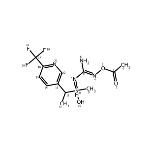 CC(=O)ON=C(N)N=[SH](C)(O)C(C)c1ccc(C(F)(F)F)nc1